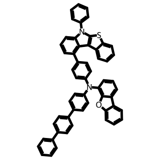 c1ccc(-c2ccc(-c3ccc(N(c4ccc(-c5cccc6c5c5c7ccccc7sc5n6-c5ccccc5)cc4)c4cccc5c4oc4ccccc45)cc3)cc2)cc1